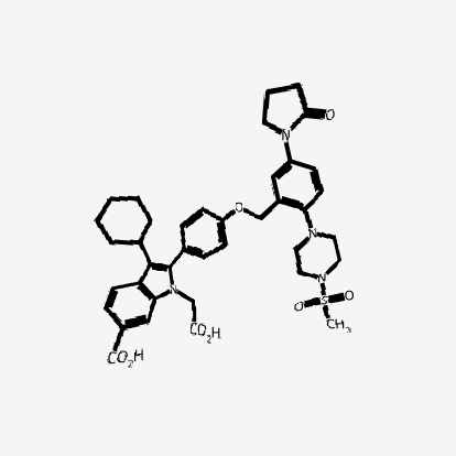 CS(=O)(=O)N1CCN(c2ccc(N3CCCC3=O)cc2COc2ccc(-c3c(C4CCCCC4)c4ccc(C(=O)O)cc4n3CC(=O)O)cc2)CC1